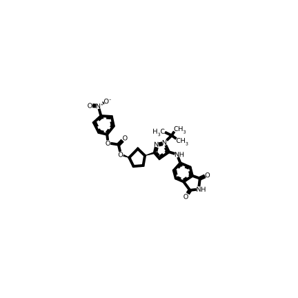 CC(C)(C)n1nc([C@H]2CC[C@@H](OC(=O)Oc3ccc([N+](=O)[O-])cc3)C2)cc1Nc1ccc2c(c1)C(=O)NC2=O